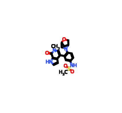 Cn1cc(-c2cc(NS(C)(=O)=O)ccc2N2CC3CC2CO3)c2cc[nH]c2c1=O